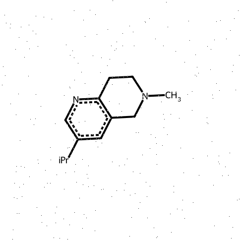 CC(C)c1cnc2c(c1)CN(C)CC2